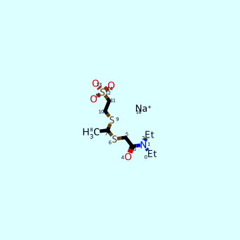 CCN(CC)C(=O)CSC(C)SCCS(=O)(=O)[O-].[Na+]